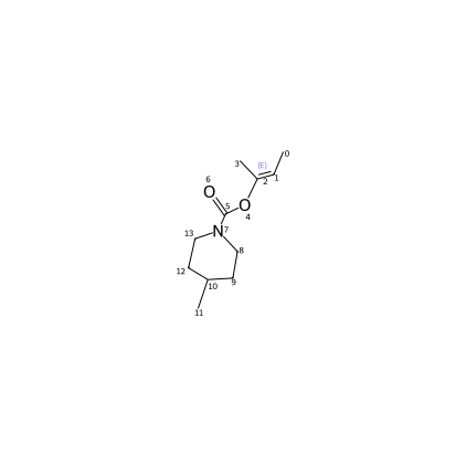 C/C=C(\C)OC(=O)N1CCC(C)CC1